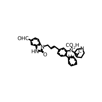 O=Cc1ccc2c(c1)[nH]c(=O)n2CC=Cc1ccc(-c2ccccc2)c(N(C(=O)O)[C@H]2CN3CCC2CC3)c1